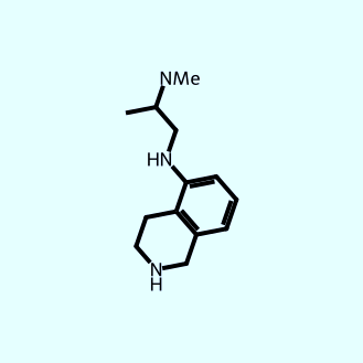 CNC(C)CNc1cccc2c1CCNC2